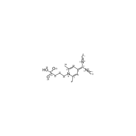 [C-]#[N+]C([N+]#[C-])=C1C=C(C)N(CCCS(=O)(=O)O)C(C)=C1